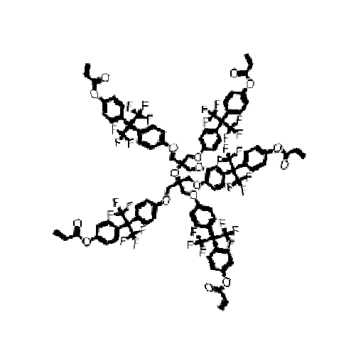 C=CC(=O)Oc1ccc(C(c2ccc(OCC(COC)(COc3ccc(C(c4ccc(OC(=O)C=C)cc4)(C(F)(F)F)C(F)(F)F)cc3)OC(COc3ccc(C(c4ccc(OC(=O)C=C)cc4)(C(F)(F)F)C(F)(F)F)cc3)(COc3ccc(C(c4ccc(OC(=O)C=C)cc4)(C(F)(F)F)C(F)(F)F)cc3)COc3ccc(C(c4ccc(OC(=O)C=C)cc4)(C(F)(F)F)C(F)(F)F)cc3)cc2)(C(F)(F)F)C(F)(F)F)cc1